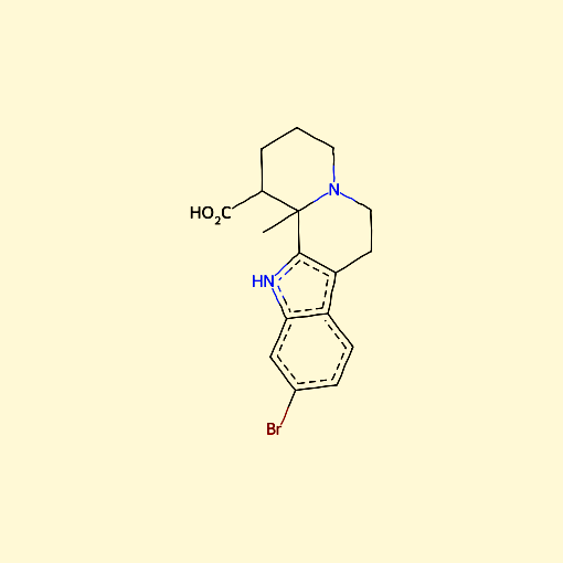 CC12c3[nH]c4cc(Br)ccc4c3CCN1CCCC2C(=O)O